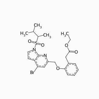 CCOC(=O)Cc1ccccc1OCc1cc(Br)c2ccn(S(=O)(=O)C(C)C(C)C)c2n1